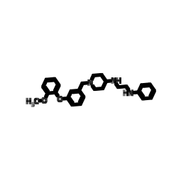 COc1ccccc1Oc1cccc(CN2CCC(NCCNc3ccccc3)CC2)c1